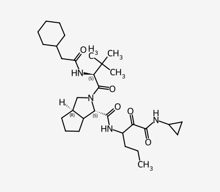 CCCC(NC(=O)[C@@H]1C2CCC[C@H]2CN1C(=O)[C@@H](NC(=O)CC1CCCCC1)C(C)(C)C)C(=O)C(=O)NC1CC1